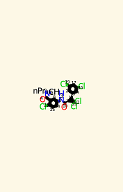 CCCN(C)C(=O)c1cc(NC(=O)[C@H]2[C@H](c3cc(Cl)cc(Cl)c3)C2(Cl)Cl)ccc1Cl